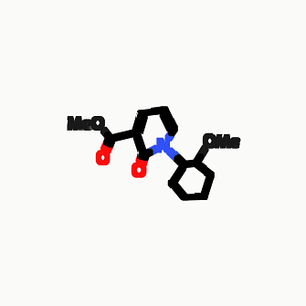 COC(=O)c1cccn(C2CCCCC2OC)c1=O